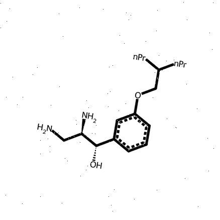 CCCC(CCC)COc1cccc([C@H](O)[C@H](N)CN)c1